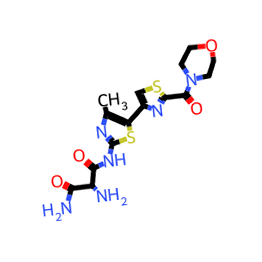 Cc1nc(NC(=O)C(N)C(N)=O)sc1-c1csc(C(=O)N2CCOCC2)n1